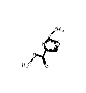 COC(=O)c1csc(SC)n1